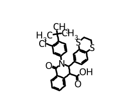 CC(C)(C)c1ccc(N2C(=O)c3ccccc3C(C(=O)O)C2c2ccc3c(c2)SCCS3)cc1Cl